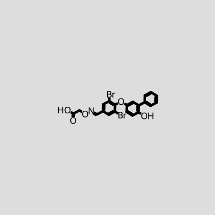 O=C(O)CON=Cc1cc(Br)c(Oc2ccc(O)c(-c3ccccc3)c2)c(Br)c1